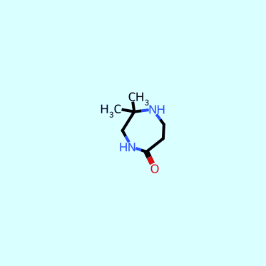 CC1(C)CNC(=O)CCN1